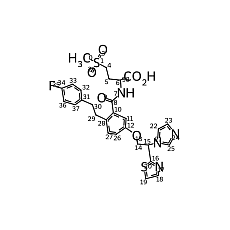 CS(=O)(=O)CC[C@H](NC(=O)c1cc(OCC(c2nccs2)n2ccnc2)ccc1CCc1ccc(F)cc1)C(=O)O